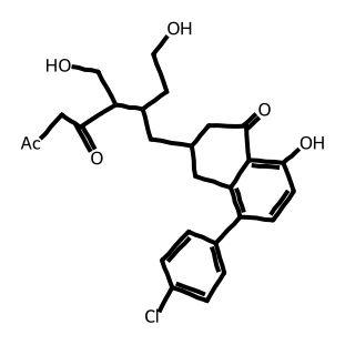 CC(=O)CC(=O)C(CO)C(CCO)CC1CC(=O)c2c(O)ccc(-c3ccc(Cl)cc3)c2C1